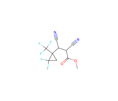 COC(=O)C(C#N)C(C#N)C1(C(F)(F)F)CC1(F)F